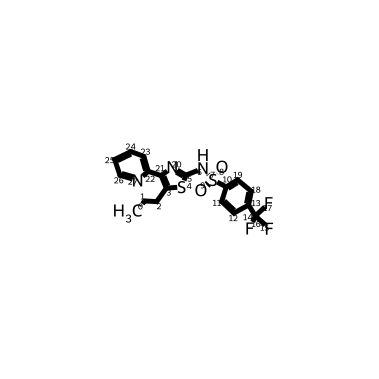 CCCc1sc(NS(=O)(=O)c2ccc(C(F)(F)F)cc2)nc1-c1ccccn1